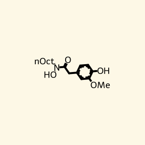 CCCCCCCCN(O)C(=O)Cc1ccc(O)c(OC)c1